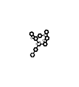 C1=CCC(c2ccc(-c3cc(-c4cccc5c4oc4c5ccc5c6ccccc6n(-c6ccccc6)c54)nc(-c4ccc5c(c4)oc4ccccc45)n3)cc2)C=C1